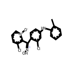 Cc1ccccc1Nc1ccc(/C(=N/O)c2c(Cl)ccc[n+]2[O-])c(Cl)c1